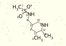 CC1CC(CNS(C)(=O)=O)CNC1C